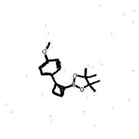 COc1ccc(C23CC(C2)C3B2OC(C)(C)C(C)(C)O2)cc1